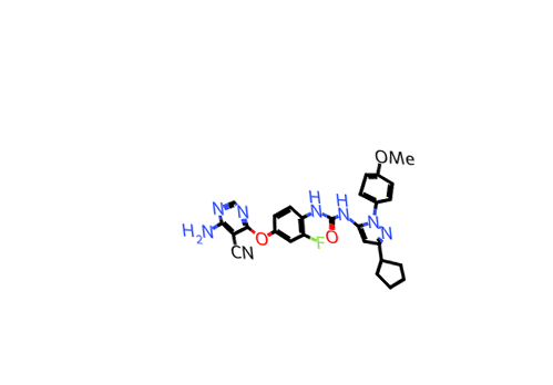 COc1ccc(-n2nc(C3CCCC3)cc2NC(=O)Nc2ccc(Oc3ncnc(N)c3C#N)cc2F)cc1